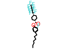 CCCCCCCc1ccc(OC(=O)[C@H]2CC[C@H](C(F)(F)C(F)(F)C(F)(F)C(F)(F)F)CC2)c(F)c1